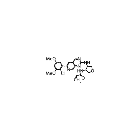 C=CC(=O)NC1COCC1Nc1ncc2cc(-c3cc(OC)cc(OC)c3Cl)ncc2n1